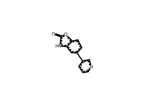 O=c1[nH]c2cc(-c3cccnc3)ccc2o1